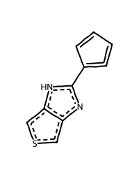 C1=CC=CC=1c1nc2cscc2[nH]1